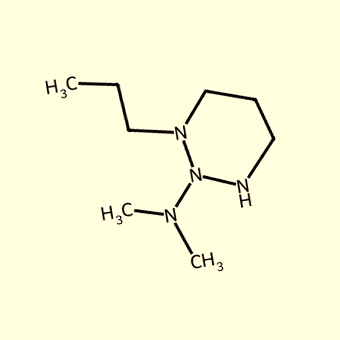 CCCN1CCCNN1N(C)C